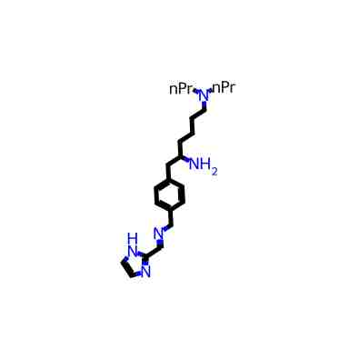 CCCN(CCC)CCCCC(N)Cc1ccc(CN=Cc2ncc[nH]2)cc1